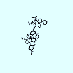 CC(C)[C@H](NCCc1cc(F)c(-n2c(N)c(C(=O)c3ccc(F)cc3F)ccc2=O)c(F)c1)C(=O)OC1CCCC1